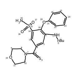 CCCCNc1cc(C(=S)N2CCOCC2)cc(S(N)(=O)=O)c1Oc1ccccc1